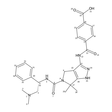 CN(C)C[C@@H](NC(=O)N1Cc2c(NC(=O)c3ccc(C(=O)O)cc3)n[nH]c2C1(C)C)c1ccccc1